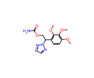 COc1ccc(C(COC(N)=O)n2ncnn2)c(OC)c1OC